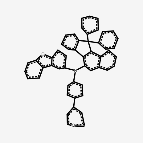 c1ccc(-c2ccc(N(c3ccc4oc5ccccc5c4c3)c3cc4ccccc4c4c3-c3ccccc3C4(c3ccccc3)c3ccccc3)cc2)cc1